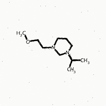 COCCN1CCCN(C(C)C)C1